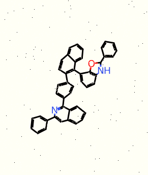 c1ccc(-c2cc3ccccc3c(-c3ccc(-c4ccc5ccccc5c4-c4cccc5c4OC(c4ccccc4)N5)cc3)n2)cc1